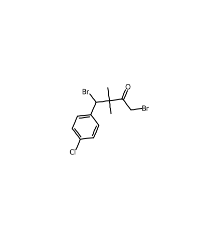 CC(C)(C(=O)CBr)C(Br)c1ccc(Cl)cc1